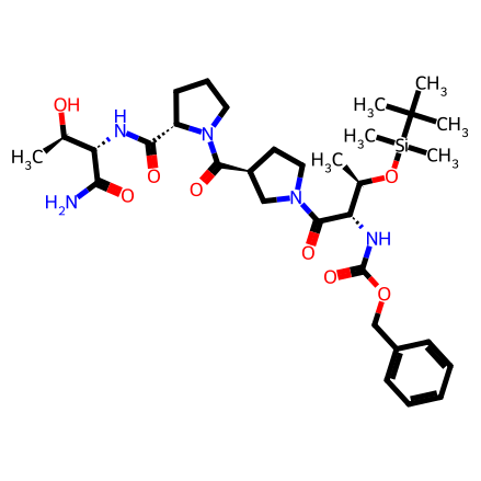 C[C@@H](O)[C@H](NC(=O)[C@@H]1CCCN1C(=O)[C@H]1CCN(C(=O)[C@@H](NC(=O)OCc2ccccc2)[C@@H](C)O[Si](C)(C)C(C)(C)C)C1)C(N)=O